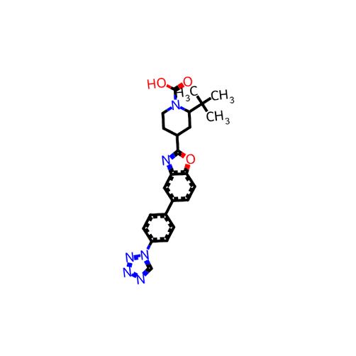 CC(C)(C)C1CC(c2nc3cc(-c4ccc(-n5cnnn5)cc4)ccc3o2)CCN1C(=O)O